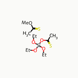 CCO[Si](OCC)(OCC)OC(C)=S.COC(C)=S